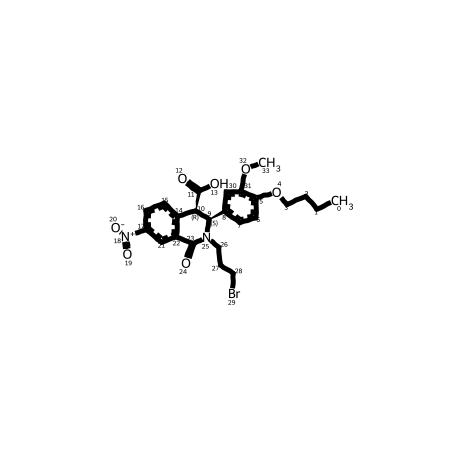 CCCCOc1ccc([C@@H]2[C@H](C(=O)O)c3ccc([N+](=O)[O-])cc3C(=O)N2CCCBr)cc1OC